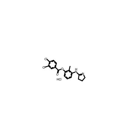 Cc1c(NC2=NCCC2)cccc1OC(=O)c1ccc(Cl)c(Cl)c1.Cl